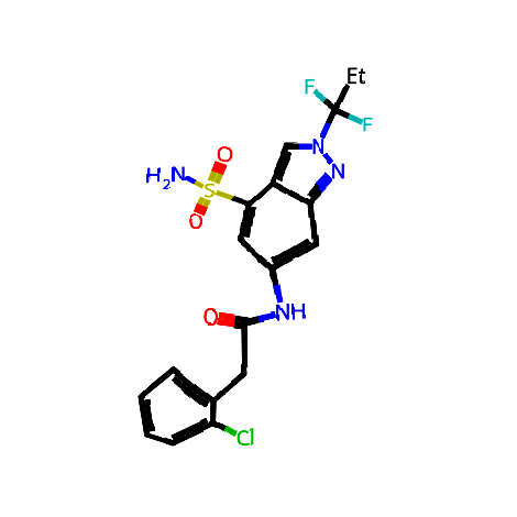 CCC(F)(F)n1cc2c(S(N)(=O)=O)cc(NC(=O)Cc3ccccc3Cl)cc2n1